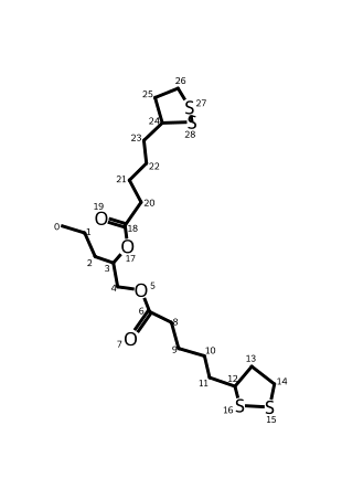 CCCC(COC(=O)CCCCC1CCSS1)OC(=O)CCCCC1CCSS1